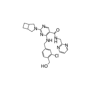 O=C(NCc1ncccn1)c1cnc(N2CC3CCC3C2)nc1NCc1ccc(CO)c(Cl)c1